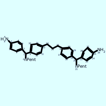 CCCCCC(c1ccc(N)cc1)c1ccc(CCCc2ccc(C(CCCCC)c3ccc(N)cc3)cc2)cc1